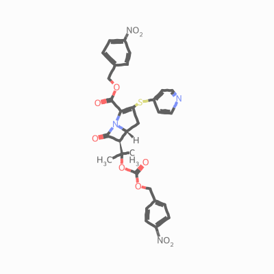 CC(C)(OC(=O)OCc1ccc([N+](=O)[O-])cc1)[C@H]1C(=O)N2C(C(=O)OCc3ccc([N+](=O)[O-])cc3)=C(Sc3ccncc3)C[C@H]12